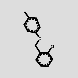 Cc1ccc(OCc2ccccc2Cl)cc1